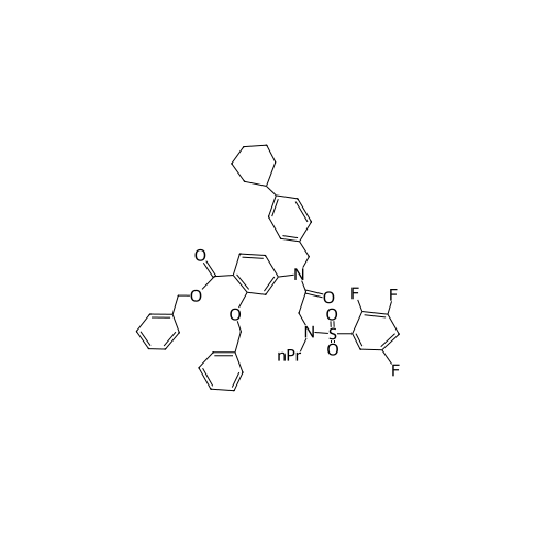 CCCN(CC(=O)N(Cc1ccc(C2CCCCC2)cc1)c1ccc(C(=O)OCc2ccccc2)c(OCc2ccccc2)c1)S(=O)(=O)c1cc(F)cc(F)c1F